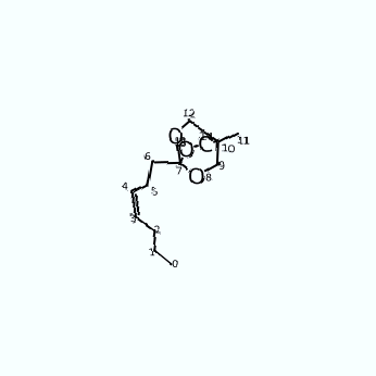 CCC/C=C\CCC12OCC(C)(CO1)CO2